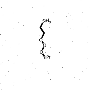 CCCOOOCC[SiH3]